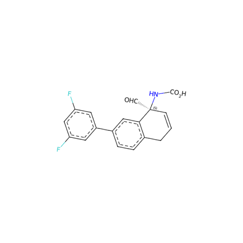 O=C[C@]1(NC(=O)O)C=CCc2ccc(-c3cc(F)cc(F)c3)cc21